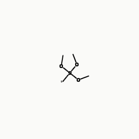 [CH][Si](OC)(OC)OC